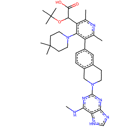 CNc1nc(N2CCc3cc(-c4c(C)nc(C)c(C(OC(C)(C)C)C(=O)O)c4N4CCC(C)(C)CC4)ccc3C2)nc2nc[nH]c12